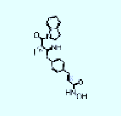 CC[C@@H](C(=N)Cc1ccc(/C=C/C(=O)NO)cc1)C(=O)N1CCc2ccccc21